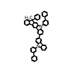 CC1(c2ccccc2)c2ccccc2-c2cc3c4cc(-c5ccc6c(c5)c5ccccc5n6-c5cccc(-c6ccccc6)c5)ccc4n(-c4cccc(-c5ccccc5)c4)c3cc21